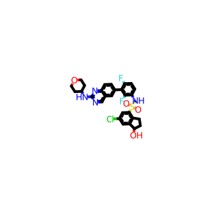 O=S(=O)(Nc1ccc(F)c(-c2ccc3nc(NC4CCOCC4)ncc3c2)c1F)c1cc(Cl)cc2c1CCC2O